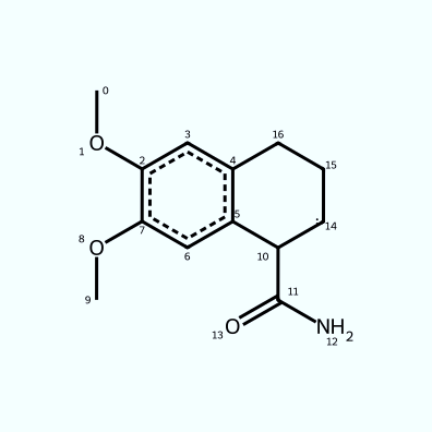 COc1cc2c(cc1OC)C(C(N)=O)[C]CC2